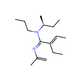 C=C(C)/N=C(\C(=C\C)CC)N(CCC)[C@@H](C)CC